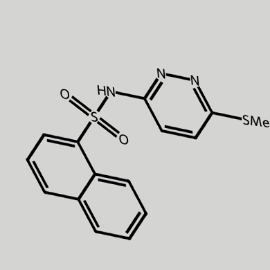 CSc1ccc(NS(=O)(=O)c2cccc3ccccc23)nn1